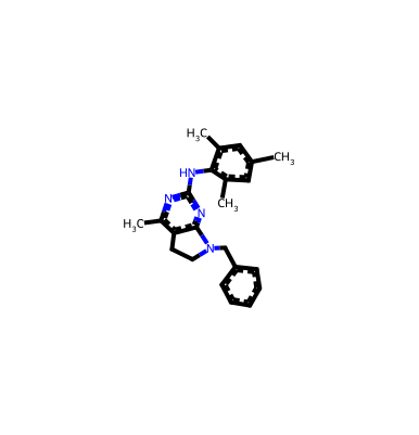 Cc1cc(C)c(Nc2nc(C)c3c(n2)N(Cc2ccccc2)CC3)c(C)c1